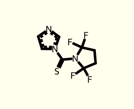 FC1(F)CCC(F)(F)N1C(=S)n1ccnc1